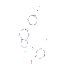 CN1C(=O)c2cccc(OC(F)F)c2[C@H]2C[C@@H]1c1nc3ccc(-c4cnc5c(c4)CC[C@]5(C)N)cc3n12